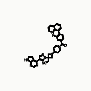 N#CCC1(n2cc(-c3ncnc4[nH]ccc34)cn2)CN(C2CCN(C(=O)c3ccc(-c4cccc5cccnc45)c(F)c3)CC2)C1